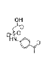 CC(=O)c1ccc(NS(=O)(=O)CC(=O)O)cc1